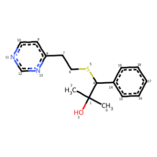 CC(C)(O)C(SCCc1ccncn1)c1ccccc1